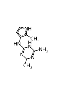 Cc1[nH]ccc1NC1=NC(C)N=C(N)N1